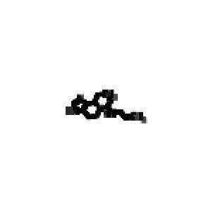 C=CCNC(=S)N1CCc2[nH]cnc2C1CC